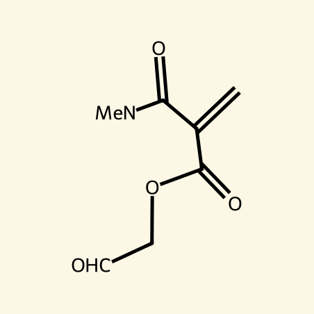 C=C(C(=O)NC)C(=O)OCC=O